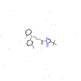 Cc1ccccc1C(CCCBc1ncc(C(C)(C)C)[nH]1)c1cccc(F)c1